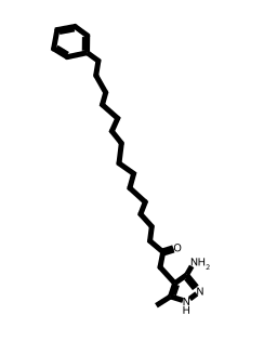 Cc1[nH]nc(N)c1CC(=O)CCCCCCCCCCCCCCc1ccccc1